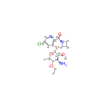 CCOCC(C)OC(Sc1cc(Cl)cnc1C(=O)N1CCC1)[C@H](CN)OC